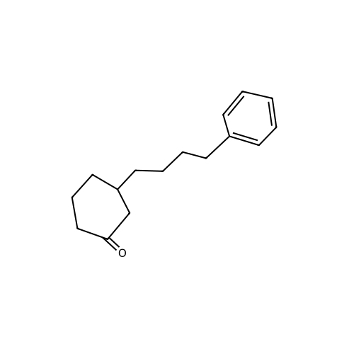 O=C1CCCC(CCCCc2ccccc2)C1